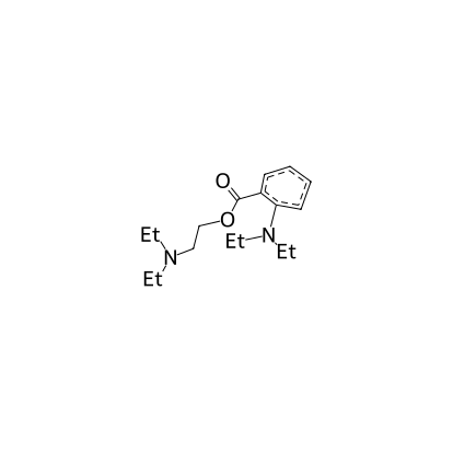 CCN(CC)CCOC(=O)c1ccccc1N(CC)CC